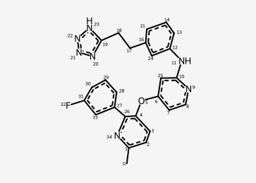 Cc1ccc(Oc2ccnc(Nc3cccc(CCc4nnn[nH]4)c3)c2)c(-c2cccc(F)c2)n1